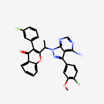 COc1cc(-c2nn(C(C)c3oc4ccccc4c(=O)c3-c3cccc(F)c3)c3ncnc(N)c23)ccc1Cl